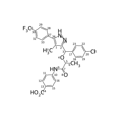 Cc1c(C(OC(C)C(=O)Nc2ccc(C(=O)O)cc2)c2ccc(Cl)cc2)n[nH]c1-c1ccc(C(F)(F)F)cc1